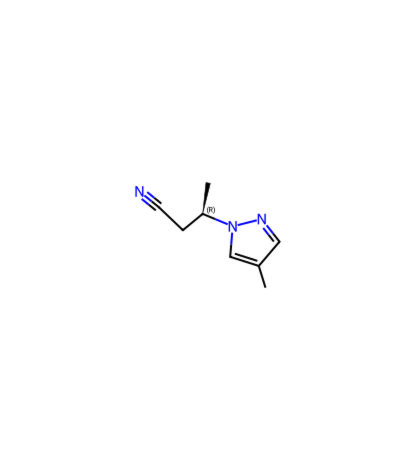 Cc1cnn([C@H](C)CC#N)c1